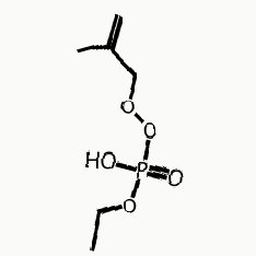 C=C(C)COOP(=O)(O)OCC